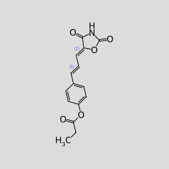 CCC(=O)Oc1ccc(/C=C/C=C2\OC(=O)NC2=O)cc1